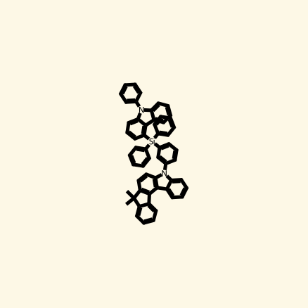 CC1(C)c2ccccc2-c2c1ccc1c2c2ccccc2n1-c1cccc([Si](c2ccccc2)(c2ccccc2)c2cccc3c2c2ccccc2n3-c2ccccc2)c1